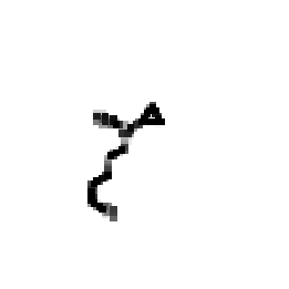 CC/C=C\CCCN(C1CC1)C(C)(C)C